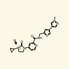 Cn1cc(-c2csc(CNC(=O)c3cc(N4CC[C@@](C#N)(C5CC5)C4=O)ccn3)c2)cn1